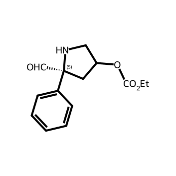 CCOC(=O)OC1CN[C@](C=O)(c2ccccc2)C1